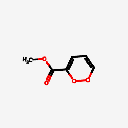 COC(=O)C1=CC=COO1